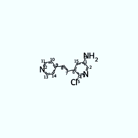 Nc1cnc(Cl)c(C=Cc2ccncc2)c1